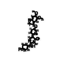 COc1cc2nccc(Oc3ccc(-c4cnc(Nc5ccc(F)cc5)n(C)c4=O)nc3)c2cc1OC